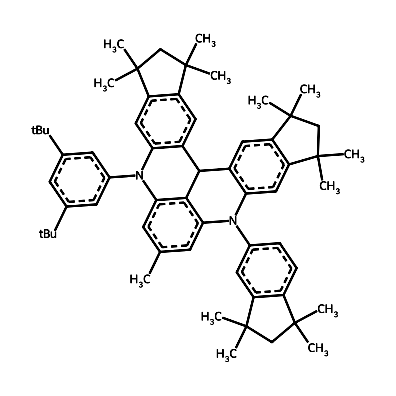 Cc1cc2c3c(c1)N(c1ccc4c(c1)C(C)(C)CC4(C)C)c1cc4c(cc1C3c1cc3c(cc1N2c1cc(C(C)(C)C)cc(C(C)(C)C)c1)C(C)(C)CC3(C)C)C(C)(C)CC4(C)C